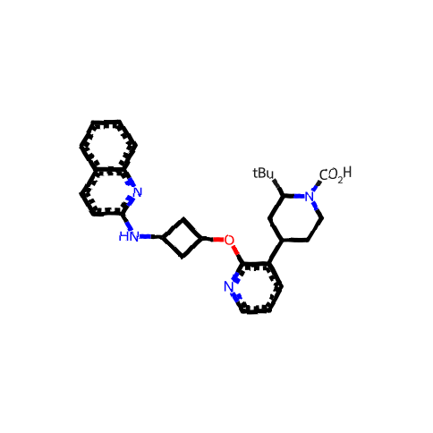 CC(C)(C)C1CC(c2cccnc2OC2CC(Nc3ccc4ccccc4n3)C2)CCN1C(=O)O